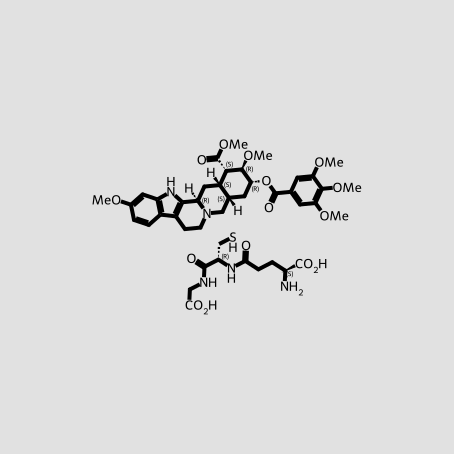 COC(=O)[C@H]1[C@H]2C[C@@H]3c4[nH]c5cc(OC)ccc5c4CCN3C[C@H]2C[C@@H](OC(=O)c2cc(OC)c(OC)c(OC)c2)[C@@H]1OC.N[C@@H](CCC(=O)N[C@@H](CS)C(=O)NCC(=O)O)C(=O)O